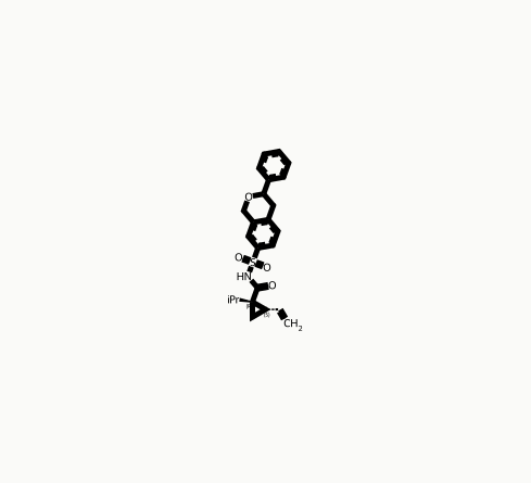 C=C[C@@H]1C[C@@]1(C(=O)NS(=O)(=O)c1ccc2c(c1)COC(c1ccccc1)C2)C(C)C